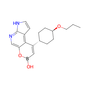 CCCO[C@H]1CC[C@H](C2=CB(O)Oc3cnc4[nH]ccc4c32)CC1